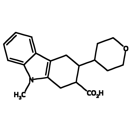 Cn1c2c(c3ccccc31)CC(C1CCOCC1)C(C(=O)O)C2